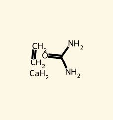 C=C.NC(N)=O.[CaH2]